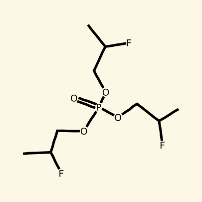 CC(F)COP(=O)(OCC(C)F)OCC(C)F